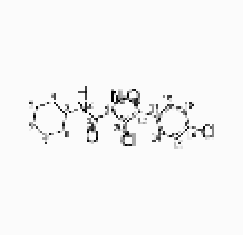 O=C(NC1CCCCC1)c1noc(-c2ccc(Cl)cc2)c1Cl